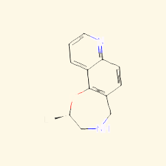 CC[C@@H]1CNCc2ccc3ncccc3c2O1